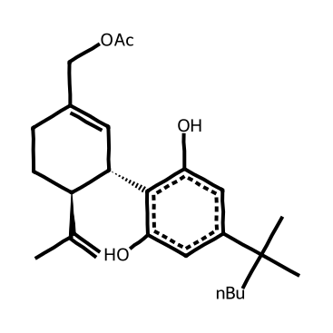 C=C(C)[C@H]1CCC(COC(C)=O)=C[C@@H]1c1c(O)cc(C(C)(C)CCCC)cc1O